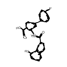 O=C(Nc1cc(-c2ccc(F)cc2)ccc1C(=O)O)c1ccc2cccc(O)c2c1